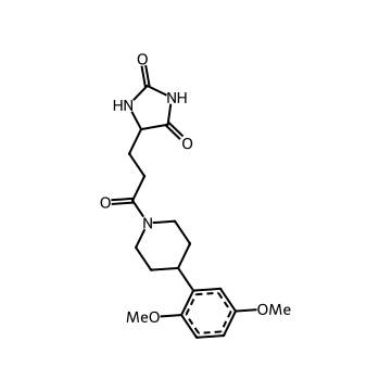 COc1ccc(OC)c(C2CCN(C(=O)CCC3NC(=O)NC3=O)CC2)c1